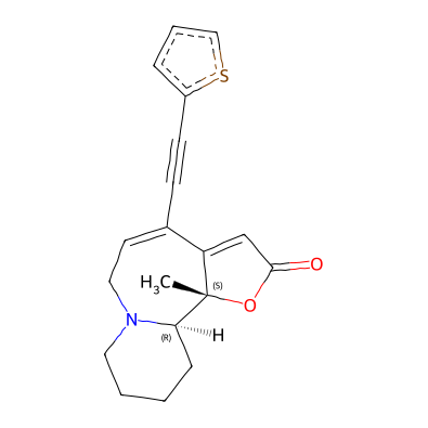 C[C@]12OC(=O)C=C1C(C#Cc1cccs1)=CCN1CCCC[C@@H]12